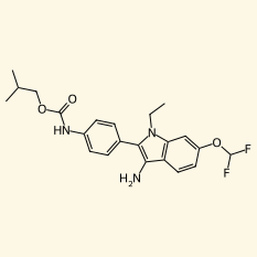 CCn1c(-c2ccc(NC(=O)OCC(C)C)cc2)c(N)c2ccc(OC(F)F)cc21